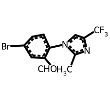 Cc1nc(C(F)(F)F)cn1-c1ccc(Br)cc1C=O